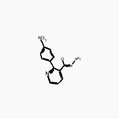 N/N=C(\Cl)c1cccnc1-c1ccc([N+](=O)[O-])cc1